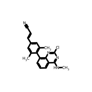 CNc1nc(Cl)nc2c(-c3c(C)cc(C=CC#N)cc3C)cccc12